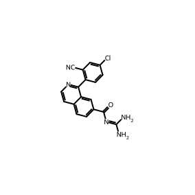 N#Cc1cc(Cl)ccc1-c1nccc2ccc(C(=O)N=C(N)N)cc12